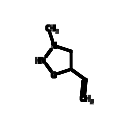 C=CC1CN(C)NO1